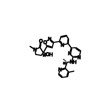 Cc1cccnc1[C@H](C)Nc1nccc(-c2cccc(-c3cc([C@]4(O)CCN(C)C4=O)on3)n2)n1